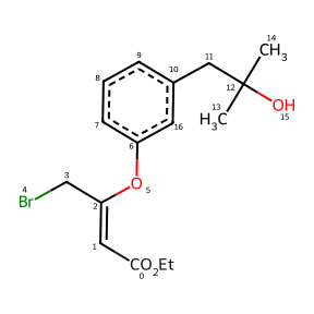 CCOC(=O)/C=C(/CBr)Oc1cccc(CC(C)(C)O)c1